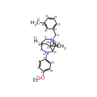 CCOc1ccc(N2C[C@H]3CN(Cc4cccc(C)c4)CC2C(C)(C)C3)cc1